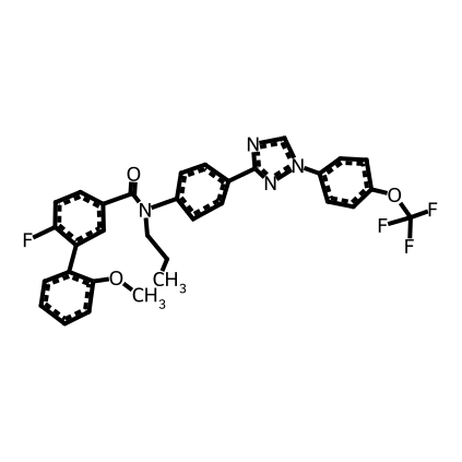 CCCN(C(=O)c1ccc(F)c(-c2ccccc2OC)c1)c1ccc(-c2ncn(-c3ccc(OC(F)(F)F)cc3)n2)cc1